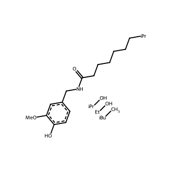 CC(C)O.CCO.COc1cc(CNC(=O)CCCCCCC(C)C)ccc1O.[CH2]CC(C)C